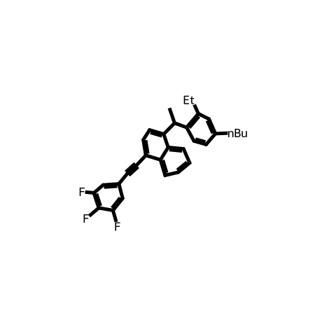 CCCCc1ccc(C(C)c2ccc(C#Cc3cc(F)c(F)c(F)c3)c3ccccc23)c(CC)c1